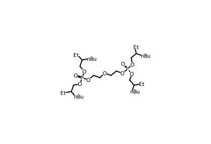 CCCCC(CC)COP(=O)(OCCOCCOP(=O)(OCC(CC)CCCC)OCC(CC)CCCC)OCC(CC)CCCC